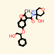 Cc1oc2ccc(OC(CO)c3ccccc3)cc2c1C(=O)NC1(CO)CCOCC1